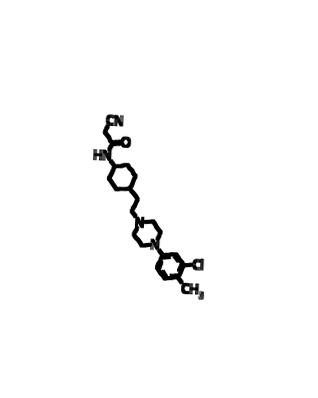 Cc1ccc(N2CCN(CCC3CCC(NC(=O)CC#N)CC3)CC2)cc1Cl